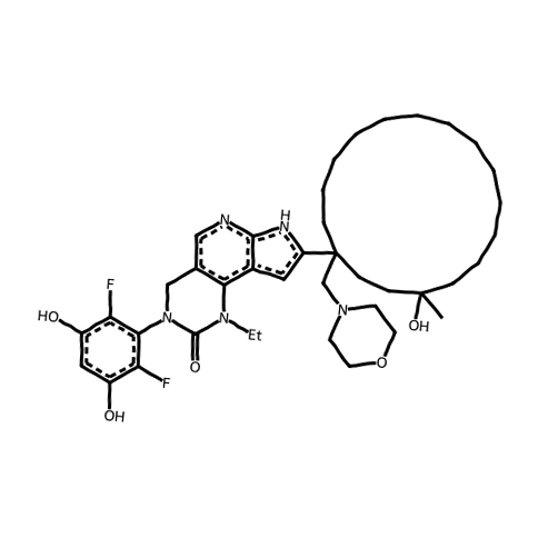 CCN1C(=O)N(c2c(F)c(O)cc(O)c2F)Cc2cnc3[nH]c(C4(CN5CCOCC5)CCCCCCCCCCCCCC(C)(O)CC4)cc3c21